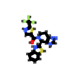 O=C(c1cnc(C(F)(F)F)s1)N1CCc2[nH]cnc2[C@H]1c1nc2ccccc2s1